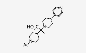 CC(=O)N1CCC(C(C)(C(=O)O)N2CCN(c3ccncc3)CC2)CC1